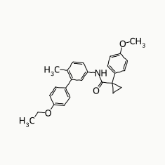 CCOc1ccc(-c2cc(NC(=O)C3(c4ccc(OC)cc4)CC3)ccc2C)cc1